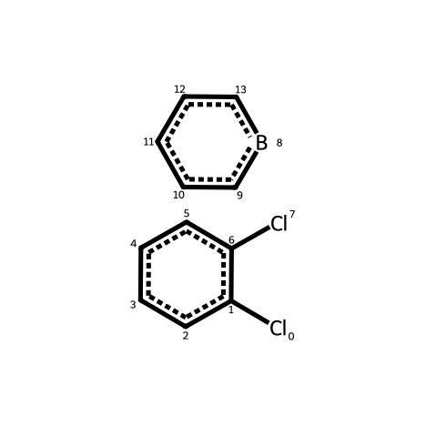 Clc1ccccc1Cl.b1ccccc1